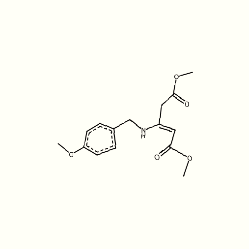 COC(=O)/C=C(/CC(=O)OC)NCc1ccc(OC)cc1